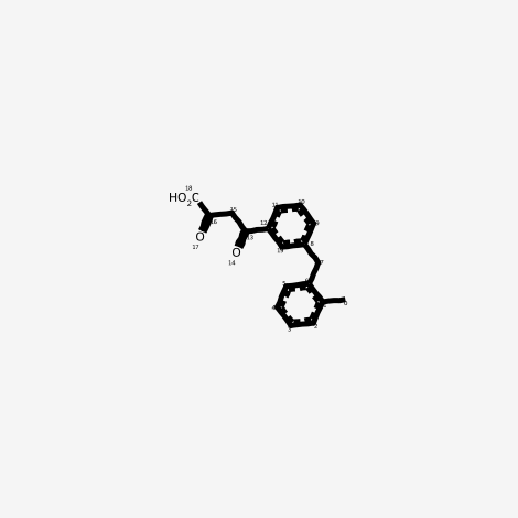 Cc1ccccc1Cc1cccc(C(=O)CC(=O)C(=O)O)c1